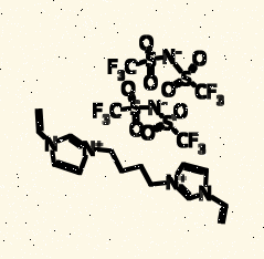 C=Cn1cc[n+](CCCC[n+]2ccn(C=C)c2)c1.O=S(=O)([N-]S(=O)(=O)C(F)(F)F)C(F)(F)F.O=S(=O)([N-]S(=O)(=O)C(F)(F)F)C(F)(F)F